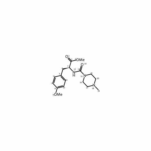 COC(=O)[C@H](Cc1ccc(OC)cc1)NC(=O)N1CCN(C)CC1